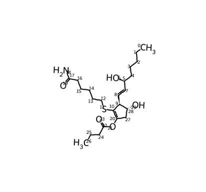 CCCCC[C@H](O)C=C[C@@H]1C(SCCCCCC(N)=O)=C(OC(=O)CCC)C[C@H]1O